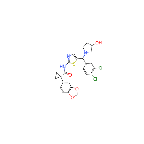 O=C(Nc1ncc([C@H](c2ccc(Cl)c(Cl)c2)N2CCC(O)C2)s1)C1(c2ccc3c(c2)OCO3)CC1